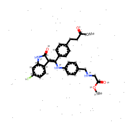 COC(=O)CCc1ccc(C(Nc2ccc(CNCC(=O)OC(C)(C)C)cc2)=C2C(=O)Nc3cc(F)ccc32)cc1